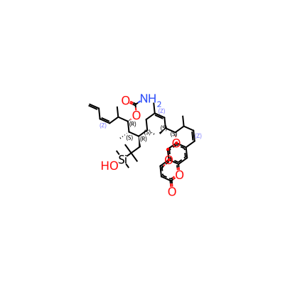 C=C/C=C\C(C)[C@H](OC(N)=O)[C@@H](C)[C@H](CC(C)(C)[Si](C)(C)O)[C@@H](C)C/C(C)=C\[C@H](C)[C@@H](OCOC)C(C)/C=C\c1ccc2ccc(=O)oc2c1